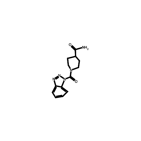 NC(=O)C1CCN(C(=O)n2nnc3ccccc32)CC1